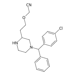 N#CCOCCC1CN(C(c2ccccc2)c2ccc(Cl)cc2)CCN1